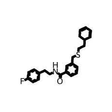 O=C(NCCc1ccc(F)cc1)c1cccc(CSCCC2C=CC=CC2)c1